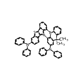 CC1(C)c2ccccc2B2c3c(cc(N(c4ccccc4)c4ccccc4)cc31)-n1c3c2cccc3c2sc3cc(N(c4ccccc4)c4ccccc4)ccc3c21